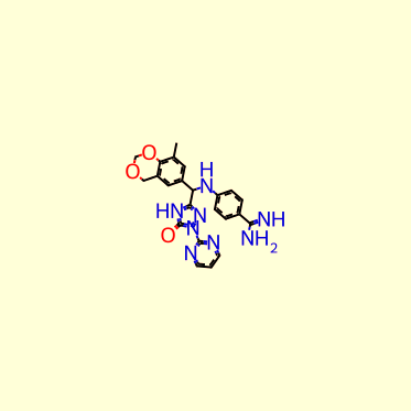 Cc1cc(C(Nc2ccc(C(=N)N)cc2)c2nn(-c3ncccn3)c(=O)[nH]2)cc2c1OCOC2